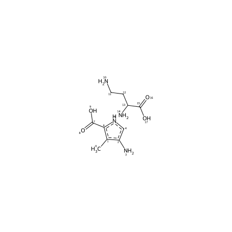 Cc1c(N)c[nH]c1C(=O)O.NCCC(N)C(=O)O